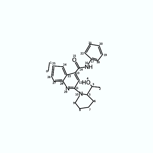 CC.CC(O)C1CCCCN1c1cc(C(=O)Nc2ccccc2)c2ccccc2n1